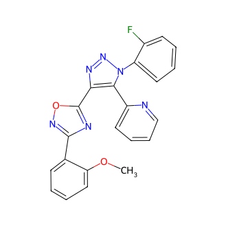 COc1ccccc1-c1noc(-c2nnn(-c3ccccc3F)c2-c2ccccn2)n1